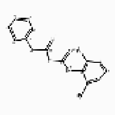 CC(C)c1cccc(C(C)C)c1NC(=O)CC(=O)Cc1ccccc1